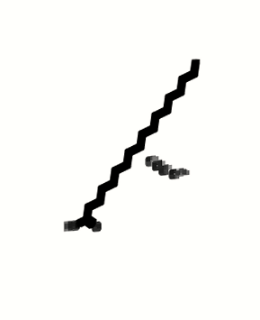 CCCCCCCCCCCCCCCCCC(=O)O.[Cl-].[Cl-].[Cl-].[Cr+3]